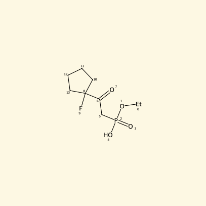 CCOP(=O)(O)CC(=O)C1(F)CCCC1